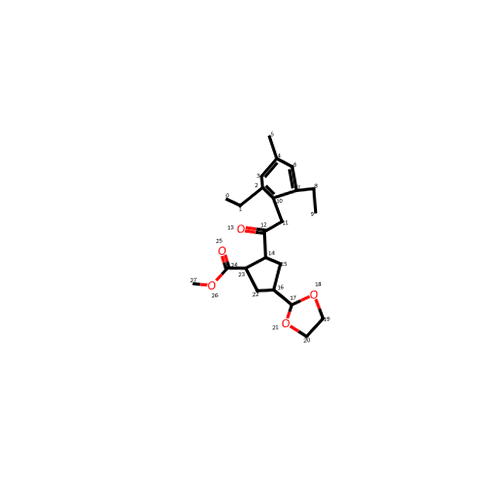 CCc1cc(C)cc(CC)c1CC(=O)C1CC(C2OCCO2)CC1C(=O)OC